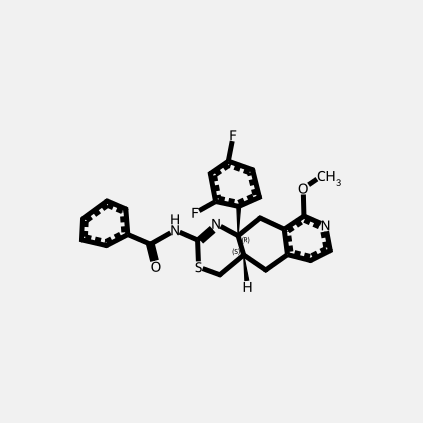 COc1nccc2c1C[C@@]1(c3ccc(F)cc3F)N=C(NC(=O)c3ccccc3)SC[C@H]1C2